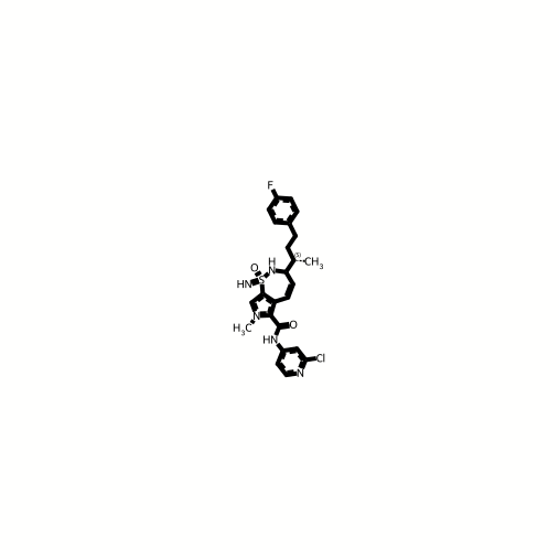 C[C@@H](CCc1ccc(F)cc1)C1C=Cc2c(cn(C)c2C(=O)Nc2ccnc(Cl)c2)S(=N)(=O)N1